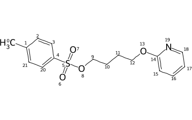 Cc1ccc(S(=O)(=O)OCCCCOc2ccccn2)cc1